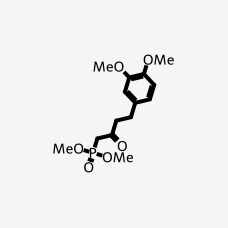 COc1ccc(CCC(=O)CP(=O)(OC)OC)cc1OC